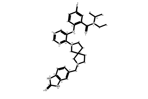 CCN(C(=O)c1cc(F)ccc1Oc1cncnc1N1CCC2(CCN(Cc3ccc4[nH]c(=O)[nH]c4c3)C2)C1)C(C)C